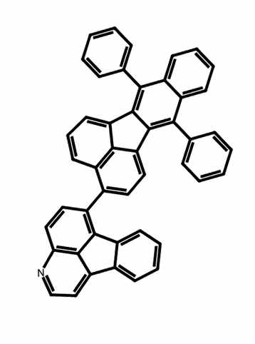 c1ccc(-c2c3c(c(-c4ccccc4)c4ccccc24)-c2ccc(-c4ccc5nccc6c5c4-c4ccccc4-6)c4cccc-3c24)cc1